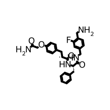 NCc1ccc(CNC(=O)[C@H](Cc2ccccc2)NC(=O)[CH]Cc2ccc(OCC(N)=O)cc2)cc1F